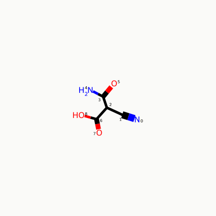 N#CC(C(N)=O)C(=O)O